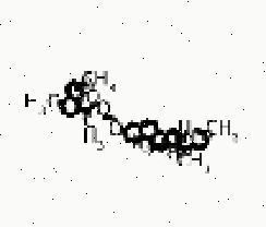 C[C@H]1CCC2[C@@H](C)[C@H]3[C@H](CC4C5CC=C6C[C@H](OCCOC7OC8O[C@@]9(C)CCC%10[C@H](C)CCC([C@H]7C)[C@@]8%10O9)CC[C@]6(C)C5CC[C@@]43C)N2C1